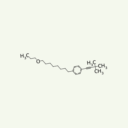 CCCOCCCCCCCCc1ccc(C#CC(C)(C)C)cc1